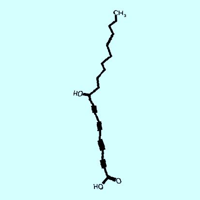 CCCCCCCCCCC(O)C#CC#CC#CC#CC(=O)O